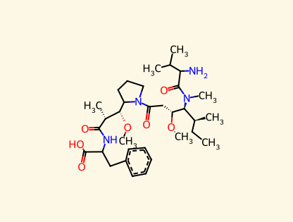 CC[C@H](C)[C@@H]([C@@H](CC(=O)N1CCCC1[C@H](OC)[C@@H](C)C(=O)NC(Cc1ccccc1)C(=O)O)OC)N(C)C(=O)C(N)C(C)C